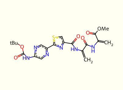 C=C(NC(=O)c1csc(-c2cnc(NC(=O)OC(C)(C)C)cn2)n1)C(=O)NC(=C)C(=O)OC